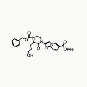 COC(=O)c1ccc2nc(N3CCN(C(=O)OCc4ccccc4)C(CCCO)C3=O)cn2c1